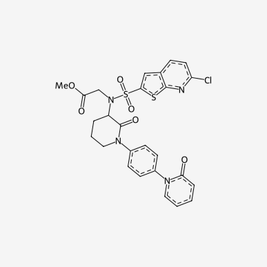 COC(=O)CN(C1CCCN(c2ccc(-n3ccccc3=O)cc2)C1=O)S(=O)(=O)c1cc2ccc(Cl)nc2s1